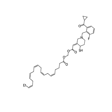 CC/C=C\C/C=C\C/C=C\C/C=C\C/C=C\CCCC(=O)OCOC(=O)/C=C1/CN(Cc2c(F)cccc2C(=O)C2CC2)CCC1S